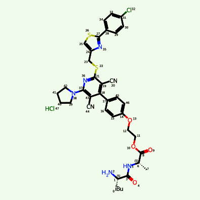 CCC(C)[C@H](N)C(=O)N[C@@H](C)C(=O)OCCOc1ccc(-c2c(C#N)c(SCc3csc(-c4ccc(Cl)cc4)n3)nc(N3CCCC3)c2C#N)cc1.Cl